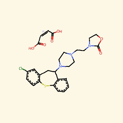 O=C(O)/C=C\C(=O)O.O=C1OCCN1CCN1CCN(C2Cc3cc(Cl)ccc3Sc3ccccc32)CC1